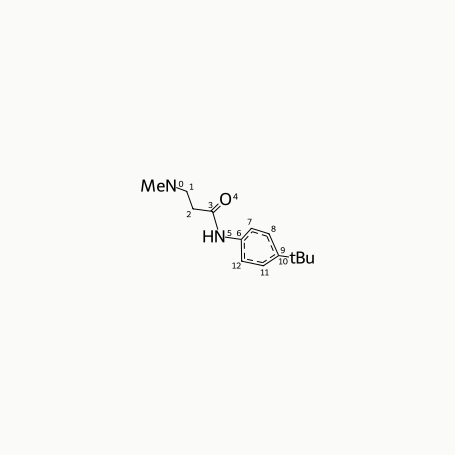 CNCCC(=O)Nc1ccc(C(C)(C)C)cc1